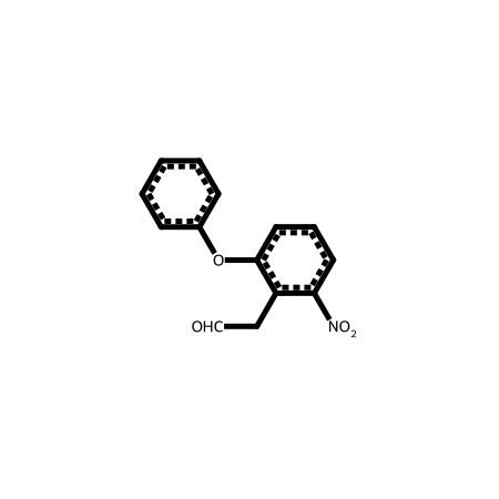 O=CCc1c(Oc2ccccc2)cccc1[N+](=O)[O-]